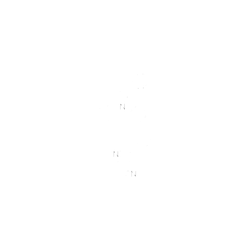 N#Cc1cncc(-c2cccc(-c3ccc4c5c6ccccc6ccc5n(-c5ccccc5)c4c3)c2)c1